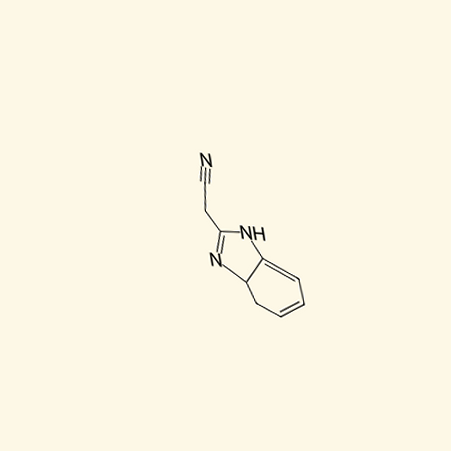 N#CCC1=NC2CC=CC=C2N1